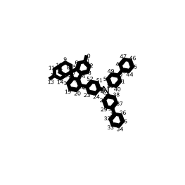 Cc1ccc2c(c1)C1(CCC3CC(C)CC1C3)c1cccc(-c3ccc(N(c4ccc(-c5ccccc5)cc4)c4ccc(-c5ccccc5)cc4)cc3)c1-2